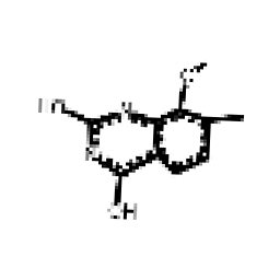 COc1c(C)ccc2c(O)nc(O)nc12